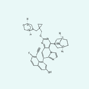 C#Cc1c(F)ccc2cc(O)cc(-c3cc4nc(OCC5(CN6C[C@H]7C[C@@H]6CO7)CC5)nc(N5C[C@H]6CC[C@@H](C5)N6)c4n4ccnc34)c12